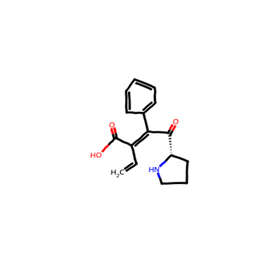 C=CC(C(=O)O)=C(C(=O)[C@@H]1CCCN1)c1ccccc1